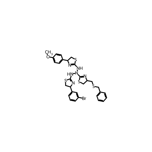 COc1ccc(C2CSC(NN(NC3=NC(c4cccc(Br)c4)CS3)C3=NC(CSCc4ccccc4)CS3)=N2)cc1